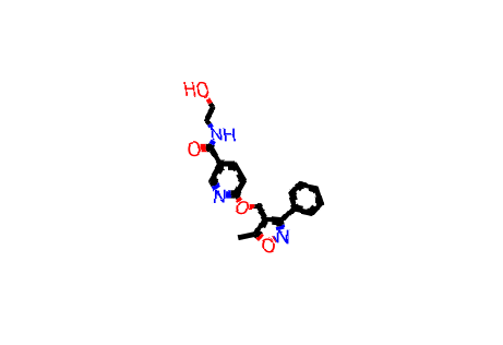 Cc1onc(-c2ccccc2)c1COc1ccc(C(=O)NCCO)cn1